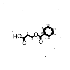 O=C(O)CCOC(=O)c1ccccc1